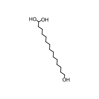 OCCCCCCCCCCCCCCC(O)O